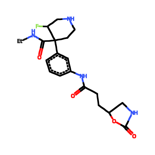 CCNC(=O)C1(c2cccc(NC(=O)CCC3CNC(=O)O3)c2)CCNCC1F